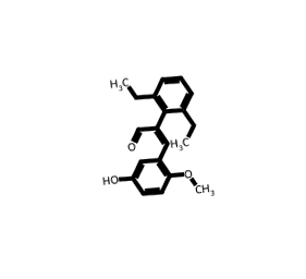 CCc1cccc(CC)c1/C(C=O)=C/c1cc(O)ccc1OC